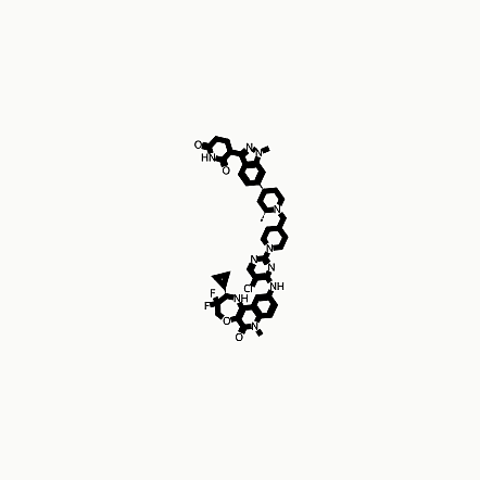 C[C@@H]1C[C@H](c2ccc3c(C4CCC(=O)NC4=O)nn(C)c3c2)CCN1CC1CCN(c2ncc(Cl)c(Nc3ccc4c(c3)c3c(c(=O)n4C)OCC(F)(F)[C@H](C4CC4)N3)n2)CC1